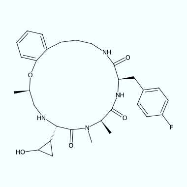 C[C@@H]1CN[C@@H](C2CC2O)C(=O)N(C)[C@H](C)C(=O)N[C@H](Cc2ccc(F)cc2)C(=O)NCCCc2ccccc2O1